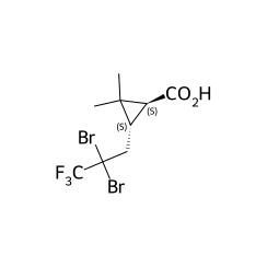 CC1(C)[C@@H](CC(Br)(Br)C(F)(F)F)[C@@H]1C(=O)O